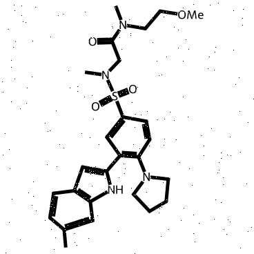 COCCN(C)C(=O)CN(C)S(=O)(=O)c1ccc(N2CCCC2)c(-c2cc3ccc(C)cc3[nH]2)c1